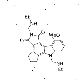 CCNCN1C(=O)c2c3c(c4c(c2C1=O)c1c(OC)cccc1n4CNCC)CCC3